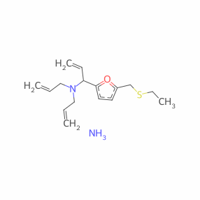 C=CCN(CC=C)C(C=C)c1ccc(CSCC)o1.N